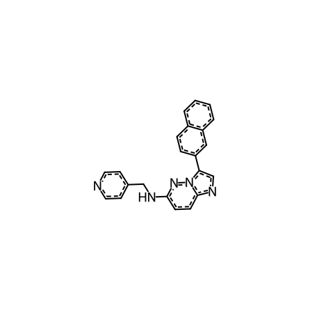 c1ccc2cc(-c3cnc4ccc(NCc5ccncc5)nn34)ccc2c1